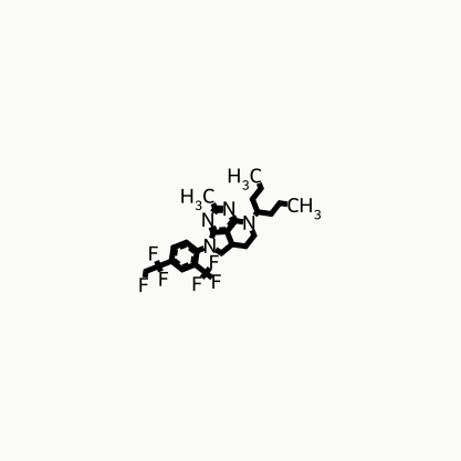 CCCC(CCC)N1CCC2CN(c3ccc(C(F)(F)CF)cc3C(F)(F)F)c3nc(C)nc1c32